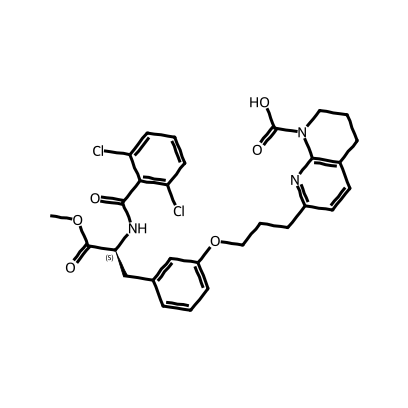 COC(=O)[C@H](Cc1cccc(OCCCc2ccc3c(n2)N(C(=O)O)CCC3)c1)NC(=O)c1c(Cl)cccc1Cl